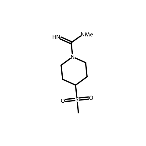 CNC(=N)N1CCC(S(C)(=O)=O)CC1